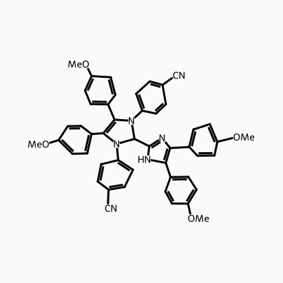 COc1ccc(C2=C(c3ccc(OC)cc3)N(c3ccc(C#N)cc3)C(c3nc(-c4ccc(OC)cc4)c(-c4ccc(OC)cc4)[nH]3)N2c2ccc(C#N)cc2)cc1